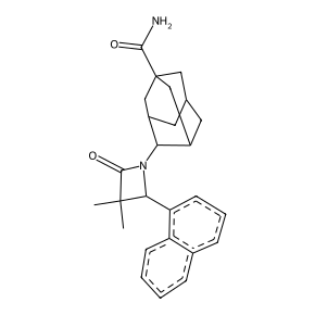 CC1(C)C(=O)N(C2C3CC4CC2CC(C(N)=O)(C4)C3)C1c1cccc2ccccc12